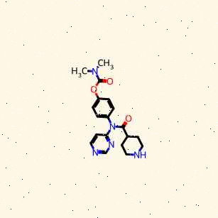 CN(C)C(=O)Oc1ccc(N(C(=O)C2CCNCC2)c2ccncn2)cc1